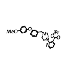 COc1ccc(Oc2cccc(CN3CCN(c4ncccc4C(=O)OC(C)C)CC3)c2)cc1